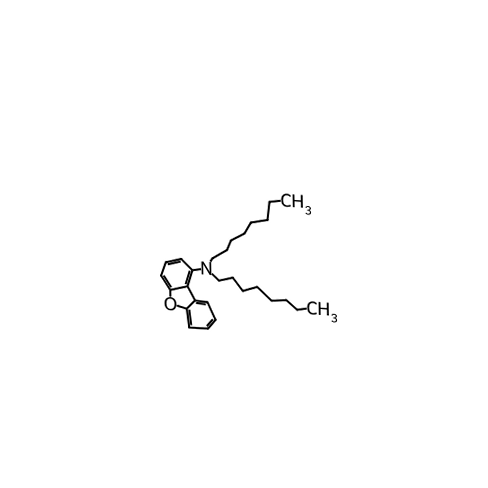 CCCCCCCCN(CCCCCCCC)c1cccc2oc3ccccc3c12